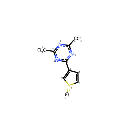 [CH2]C[SH]1C=CC(c2nc(C(Cl)(Cl)Cl)nc(C(Cl)(Cl)Cl)n2)=C1